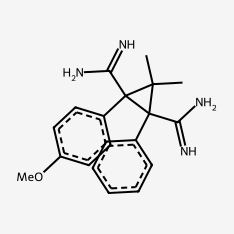 COc1ccc(C2(C(=N)N)C(C)(C)C2(C(=N)N)c2ccccc2)cc1